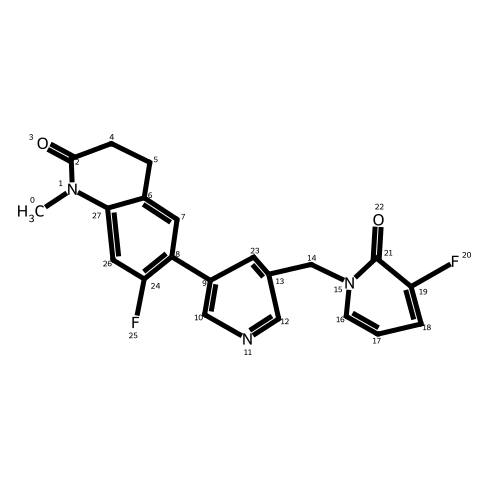 CN1C(=O)CCc2cc(-c3cncc(Cn4cccc(F)c4=O)c3)c(F)cc21